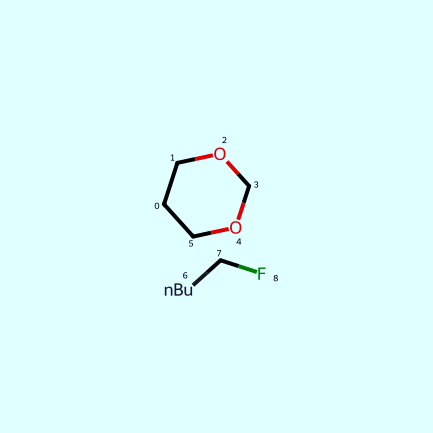 C1COCOC1.CCCCCF